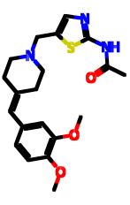 COc1ccc(C=C2CCN(Cc3cnc(NC(C)=O)s3)CC2)cc1OC